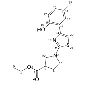 CCOC(=O)C1CCN(c2nc(-c3cc(C)ccc3O)cs2)C1